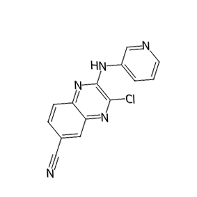 N#Cc1ccc2nc(Nc3cccnc3)c(Cl)nc2c1